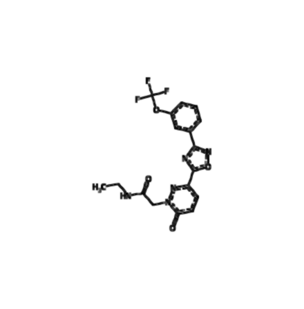 CCNC(=O)Cn1nc(-c2nc(-c3cccc(OC(F)(F)F)c3)no2)ccc1=O